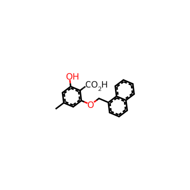 Cc1cc(O)c(C(=O)O)c(OCc2cccc3ccccc23)c1